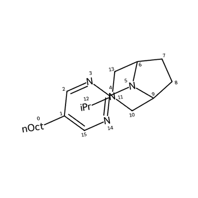 CCCCCCCCc1cnc(N2C3CCC2CN(C(C)C)C3)nc1